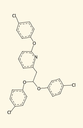 Clc1ccc(Oc2cccc(CC(Oc3ccc(Cl)cc3)Oc3ccc(Cl)cc3)n2)cc1